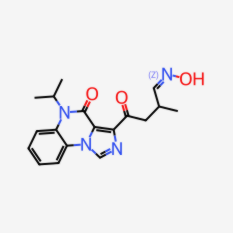 CC(/C=N\O)CC(=O)c1ncn2c1c(=O)n(C(C)C)c1ccccc12